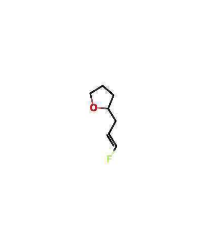 FC=CCC1CCCO1